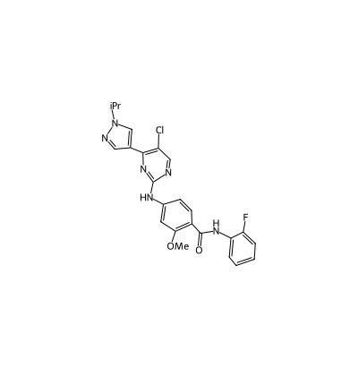 COc1cc(Nc2ncc(Cl)c(-c3cnn(C(C)C)c3)n2)ccc1C(=O)Nc1ccccc1F